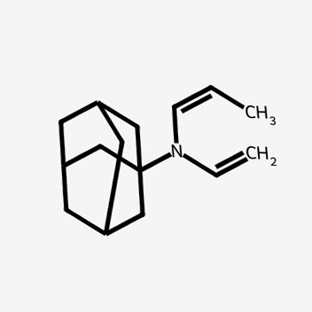 C=CN(/C=C\C)C12CC3CC(CC(C3)C1)C2